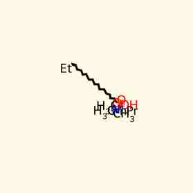 CC/C=C\CCCCCCCCCCCCCCOP(=O)(O)C(CCC)[N+](C)(C)C